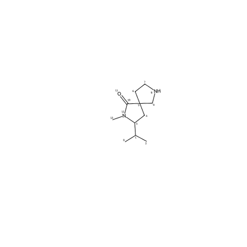 CC(C)C1CC2(CCNC2)C(=O)N1C